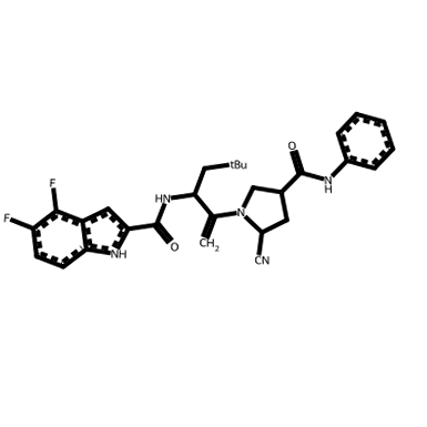 C=C(C(CC(C)(C)C)NC(=O)c1cc2c(F)c(F)ccc2[nH]1)N1CC(C(=O)Nc2ccccc2)CC1C#N